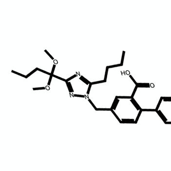 CCCCc1nc(C(CCC)(OC)OC)nn1Cc1ccc(-c2ccccc2)c(C(=O)O)c1